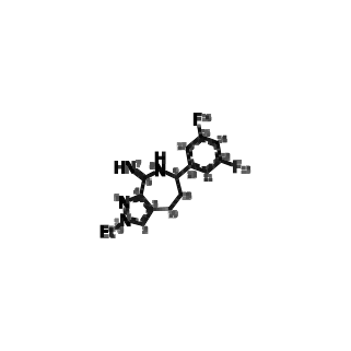 CCn1cc2c(n1)C(=N)NC(c1cc(F)cc(F)c1)CC2